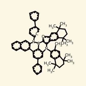 Cc1cc2c(cc1N1c3cc(-c4ccccc4)cc4c3B(c3oc5cc6c(cc5c31)C(C)(C)CCC6(C)C)N(c1ccc(-c3ccccc3)cc1)c1cc3ccccc3cc1-4)C(C)(C)CCC2(C)C